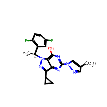 C[C@@H](c1cc(F)ccc1F)n1nc(C2CC2)c2nc(-n3cc(C(=O)O)cn3)nc(O)c21